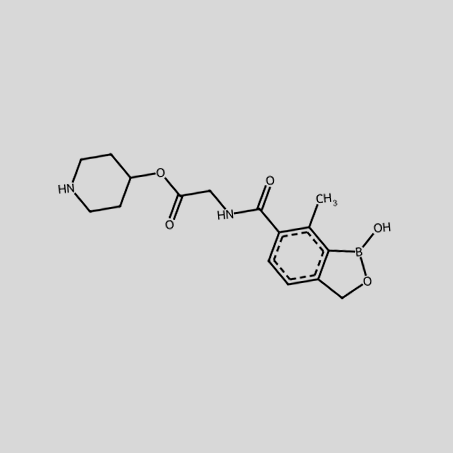 Cc1c(C(=O)NCC(=O)OC2CCNCC2)ccc2c1B(O)OC2